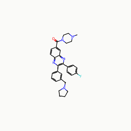 CN1CCN(C(=O)c2ccc3nc(-c4cccc(CN5CCCC5)c4)c(-c4ccc(F)cc4)nc3c2)CC1